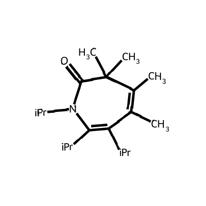 CC1=C(C)C(C)(C)C(=O)N(C(C)C)C(C(C)C)=C1C(C)C